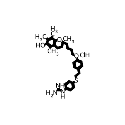 Cc1c(C)c2c(c(C)c1O)CCC(C)(CCCCOc1ccc(CCSc3ccc(NC(=N)N)cc3)cc1)O2.Cl